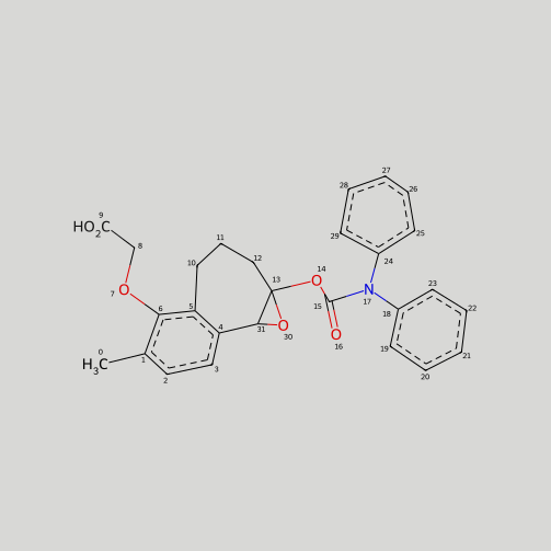 Cc1ccc2c(c1OCC(=O)O)CCCC1(OC(=O)N(c3ccccc3)c3ccccc3)OC21